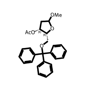 COC1C[C@@H](OC(C)=O)[C@@H](COC(c2ccccc2)(c2ccccc2)c2ccccc2)O1